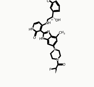 Cc1cc(N2CCN(C(=O)C(F)F)CC2)cc2[nH]c(-c3c(NC[C@@H](O)c4cccc(Cl)c4)cc[nH]c3=O)nc12